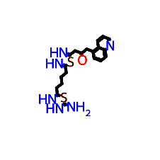 N=C(N)SC(=N)CCCCC(=N)SC(=N)CC(=O)Cc1cccc2ncccc12